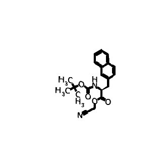 CC(C)(C)OC(=O)N[C@@H](Cc1ccc2ccccc2c1)C(=O)OCC#N